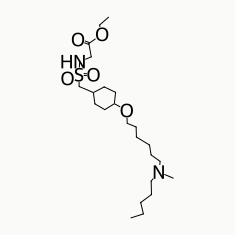 CCCCCN(C)CCCCCCOC1CCC(CS(=O)(=O)NCC(=O)OCC)CC1